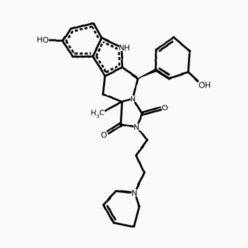 CC12Cc3c([nH]c4ccc(O)cc34)[C@@H](C3=CC(O)CC=C3)N1C(=O)N(CCCN1CC=CCC1)C2=O